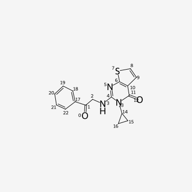 O=C(CNc1nc2sccc2c(=O)n1C1CC1)c1ccccc1